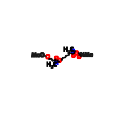 CNC(=O)COCN(C)C(=O)CCCCCCOCN(C)C(=O)CCCOCCOC